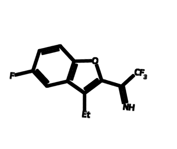 CCc1c(C(=N)C(F)(F)F)oc2ccc(F)cc12